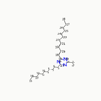 C[CH]c1nc(CCCCCCCCCCC)nc(CCCCCCCCCCC)n1